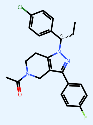 CC[C@@H](c1ccc(Cl)cc1)n1nc(-c2ccc(F)cc2)c2c1CCN(C(C)=O)C2